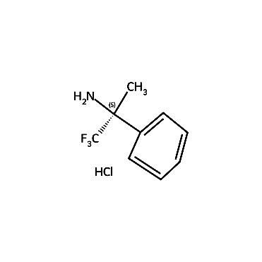 C[C@](N)(c1ccccc1)C(F)(F)F.Cl